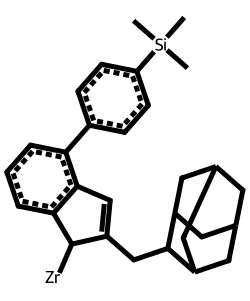 C[Si](C)(C)c1ccc(-c2cccc3c2C=C(CC2C4CC5CC(C4)CC2C5)[CH]3[Zr])cc1